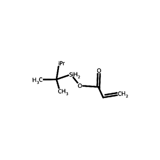 C=CC(=O)O[SiH2]C(C)(C)C(C)C